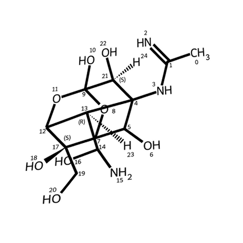 CC(=N)NC12C(O)C3OC(O)(OC([C@@H]1C(N)O)[C@@]3(O)CO)[C@H]2O